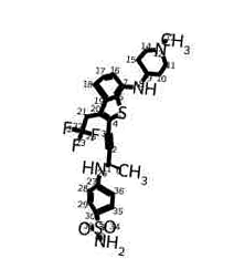 C[C@H](C#Cc1sc2c(NC3CCN(C)CC3)cccc2c1CC(F)(F)F)Nc1ccc(S(N)(=O)=O)cc1